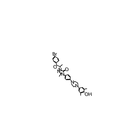 Cc1cc(N2CCN(c3ccc(-n4c(C)nn(C(C)C(=O)c5ccc(Br)cc5)c4=O)cc3)CC2)cc(C)c1O